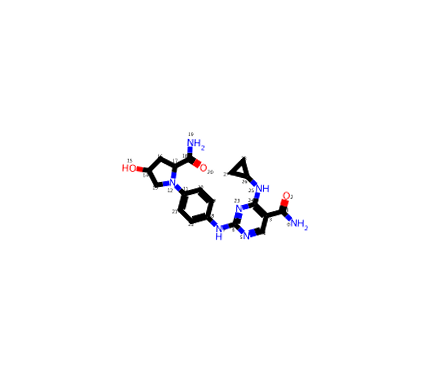 NC(=O)c1cnc(Nc2ccc(N3CC(O)CC3C(N)=O)cc2)nc1NC1CC1